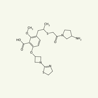 COc1c(CC(C)SCC(=O)N2CCC(N)C2)ccc(OC2CN(C3=NCCS3)C2)c1C(=O)O